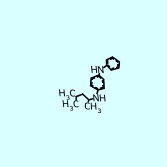 CC(C)CC(C)Nc1ccc(Nc2ccccc2)cc1